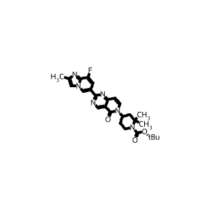 Cc1cn2cc(-c3ncc4c(=O)n(C5CCN(C(=O)OC(C)(C)C)C(C)(C)C5)ccc4n3)cc(F)c2n1